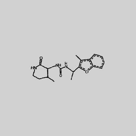 Cc1c(C(C)NC(=O)NC2C(=O)NCCC2C)oc2ccccc12